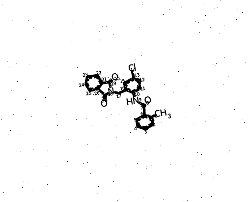 Cc1ccccc1C(=O)Nc1ccc(Cl)cc1CN1C(=O)c2ccccc2C1=O